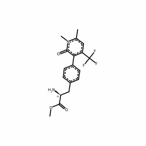 COC(=O)[C@@H](N)Cc1ccc(-c2c(C(F)(F)F)cc(C)n(C)c2=O)cc1